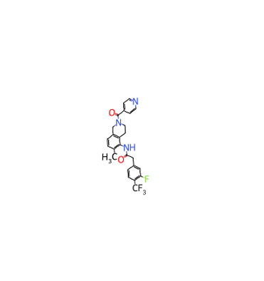 Cc1ccc2c(c1NC(=O)Cc1ccc(C(F)(F)F)c(F)c1)CCN(C(=O)c1ccncc1)C2